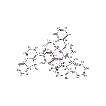 CC1(C)c2ccccc2-c2cccc(-c3ccc(N(c4cccc(-c5ccccc5)c4-c4ccccc4-c4ccccc4)c4cccc5c4C(C)(C)c4ccccc4-5)cc3)c21